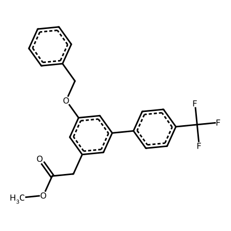 COC(=O)Cc1cc(OCc2ccccc2)cc(-c2ccc(C(F)(F)F)cc2)c1